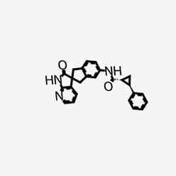 O=C(Nc1ccc2c(c1)CC1(C2)C(=O)Nc2ncccc21)[C@@H]1C[C@H]1c1ccccc1